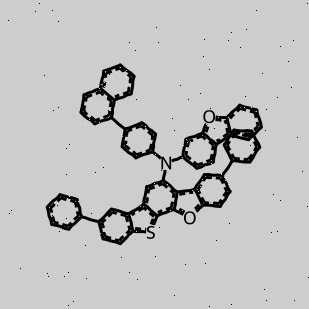 c1ccc(-c2ccc3sc4c(cc(N(c5ccc(-c6cccc7ccccc67)cc5)c5ccc6c(c5)oc5ccccc56)c5c6cc(-c7ccccc7)ccc6oc45)c3c2)cc1